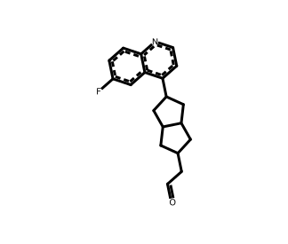 O=CCC1CC2CC(c3ccnc4ccc(F)cc34)CC2C1